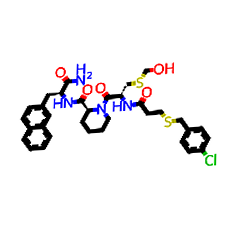 NC(=O)[C@H](Cc1ccc2ccccc2c1)NC(=O)[C@@H]1CCCCN1C(=O)[C@H](CSCO)NC(=O)CCSCc1ccc(Cl)cc1